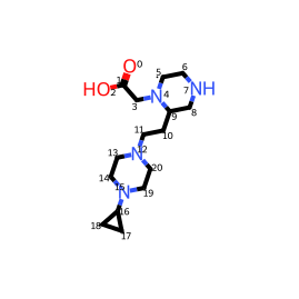 O=C(O)CN1[CH]CNCC1CCN1CCN(C2CC2)CC1